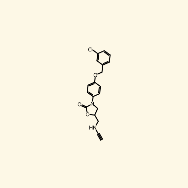 C#CNCC1CN(c2ccc(OCc3cccc(Cl)c3)cc2)C(=O)O1